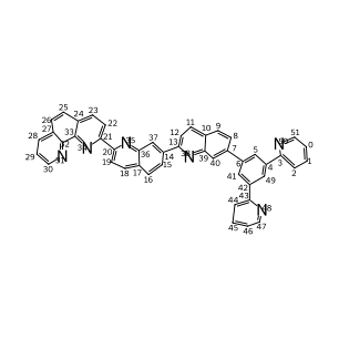 c1ccc(-c2cc(-c3ccc4ccc(-c5ccc6ccc(-c7ccc8ccc9cccnc9c8n7)nc6c5)nc4c3)cc(-c3ccccn3)c2)nc1